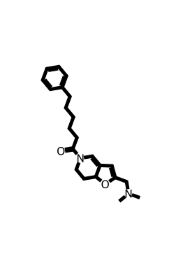 CN(C)CC1=CC2=CN(C(=O)CCCCCc3ccccc3)CCC2O1